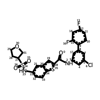 O=C(Nc1cc(Cl)cc(-c2ccc(F)cc2F)c1)c1cc2cc(NS(=O)(=O)C3CCOC3)ccc2s1